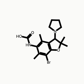 Cc1c(Br)c2c(c(C)c1NC(=O)O)C(N1CCCC1)C(C)(C)O2